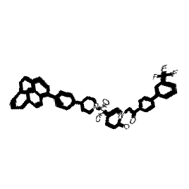 O=C(Cn1cc(S(=O)(=O)N2CCC(c3ccc(-c4ccc5ccc6cccc7ccc4c5c67)cc3)CC2)ccc1=O)c1ccc(-c2cccc(C(F)(F)F)c2)cc1